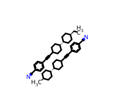 CC[C@H]1CC[C@H](C2CCC(C#Cc3ccc(C#N)cc3)CC2)CC1.C[C@H]1CC[C@H](C2CCC(C#Cc3ccc(C#N)cc3)CC2)CC1